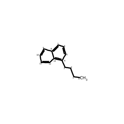 CCCCc1[c]ccc2ccccc12